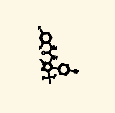 Cn1nc(C(C)(F)F)c(-c2ccc(Br)cc2)c1NC(=O)Nc1ccc(F)cc1F